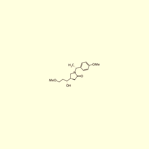 COCC[C@@H](O)[C@@H]1CC(=O)N([C@H](C)c2ccc(OC)cc2)C1